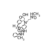 COc1cc(N(CCCNC(C)=O)C(CC(=O)O)c2ccccc2)ccc1NC(=O)Nc1ccccc1C